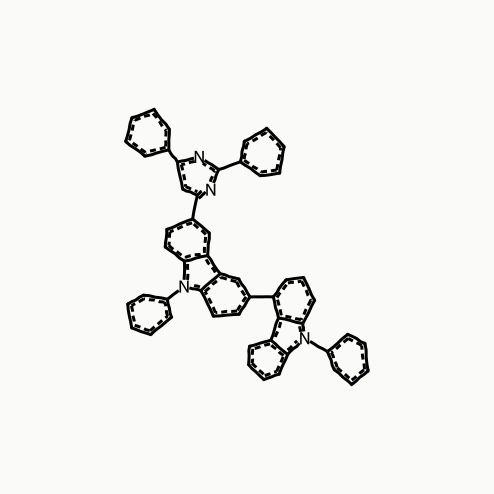 c1ccc(-c2cc(-c3ccc4c(c3)c3cc(-c5cccc6c5c5ccccc5n6-c5ccccc5)ccc3n4-c3ccccc3)nc(-c3ccccc3)n2)cc1